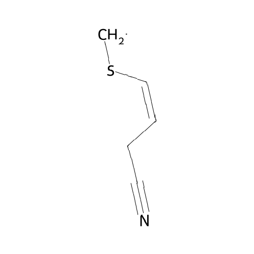 [CH2]S/C=C\CC#N